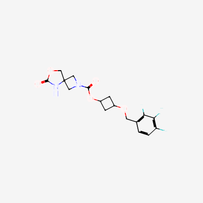 O=C1NC2(CO1)CN(C(=O)OC1CC(OCc3ccc(F)c(F)c3F)C1)C2